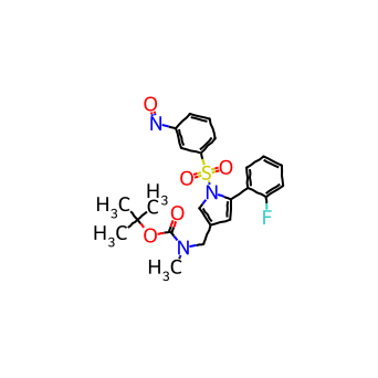 CN(Cc1cc(-c2ccccc2F)n(S(=O)(=O)c2cccc(N=O)c2)c1)C(=O)OC(C)(C)C